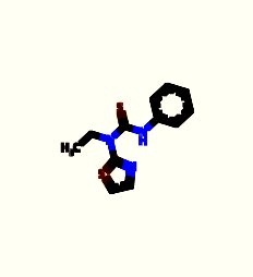 CCN(C(=S)Nc1ccccc1)c1nccs1